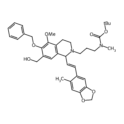 COc1c2c(cc(CO)c1OCc1ccccc1)C(/C=C/c1cc3c(cc1C)OCO3)N(CCCN(C)C(=O)OC(C)(C)C)CC2